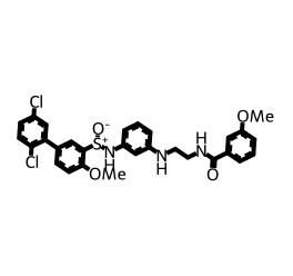 COc1cccc(C(=O)NCCNc2cccc(N[S+]([O-])c3cc(-c4cc(Cl)ccc4Cl)ccc3OC)c2)c1